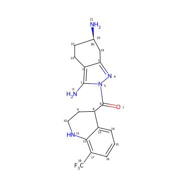 Nc1c2c(nn1C(=O)C1CCNc3c1cccc3C(F)(F)F)C[C@H](N)CC2